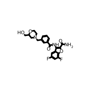 NC(=O)c1oc2c(F)cc(F)cc2c1NC(=O)c1cccc(CN2CCOC(CO)C2)c1